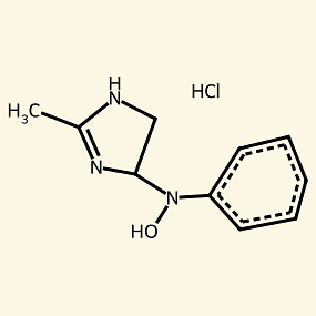 CC1=NC(N(O)c2ccccc2)CN1.Cl